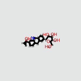 N#Cc1ccc([C@@H]2OC(CO)[C@@H](O)[C@H](O)C2O)cc1Cc1ccc(C2(O)CC2)cc1